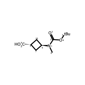 CN(C(=O)OC(C)(C)C)[C@H]1C[C@H](C(=O)O)C1